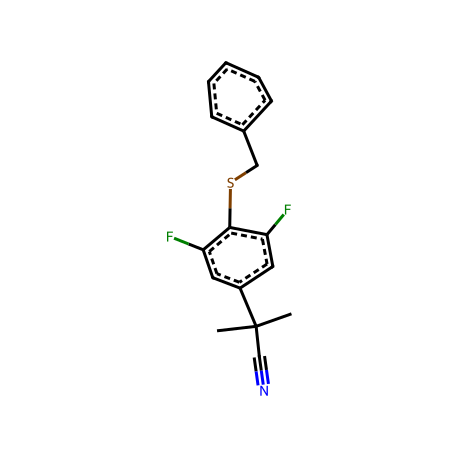 CC(C)(C#N)c1cc(F)c(SCc2ccccc2)c(F)c1